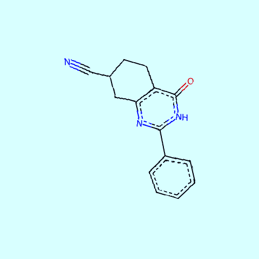 N#CC1CCc2c(nc(-c3ccccc3)[nH]c2=O)C1